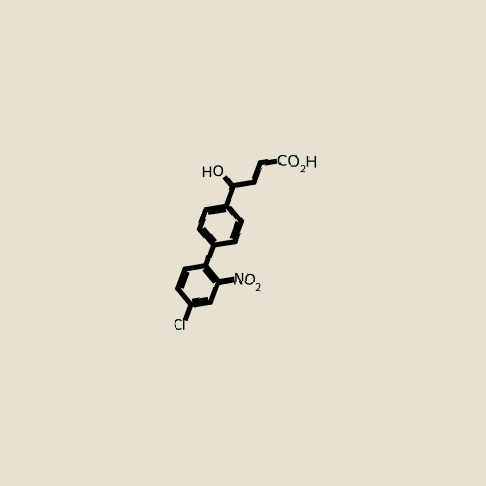 O=C(O)CCC(O)c1ccc(-c2ccc(Cl)cc2[N+](=O)[O-])cc1